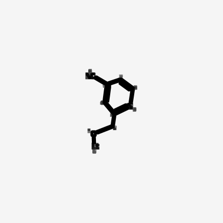 CCOCc1cc(C#N)ccn1